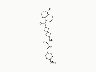 COc1ccc(CNC(=O)NC2CC3(C2)CC(C(=O)N2CCCc4c(F)cccc42)C3)cc1